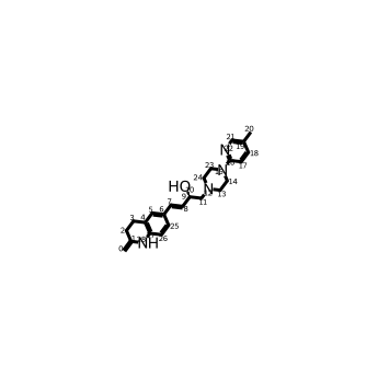 C=C1CCc2cc(/C=C/[C@@H](O)CN3CCN(c4ccc(C)cn4)CC3)ccc2N1